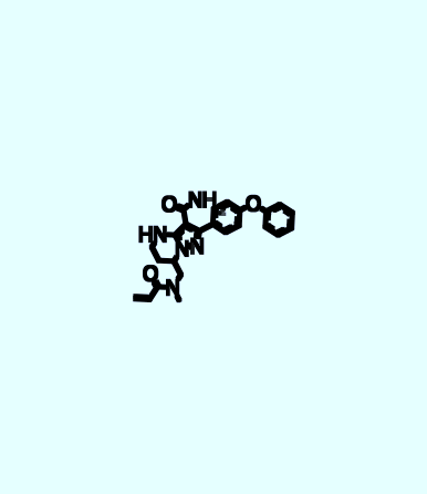 C=CC(=O)N(C)CC1CCNc2c(C(N)=O)c(-c3ccc(Oc4ccccc4)cc3)nn21